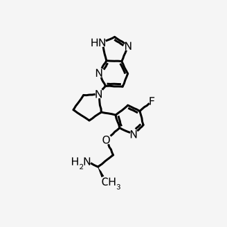 C[C@@H](N)COc1ncc(F)cc1C1CCCN1c1ccc2nc[nH]c2n1